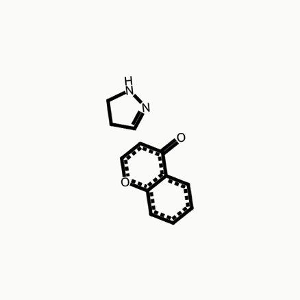 C1=NNCC1.O=c1ccoc2ccccc12